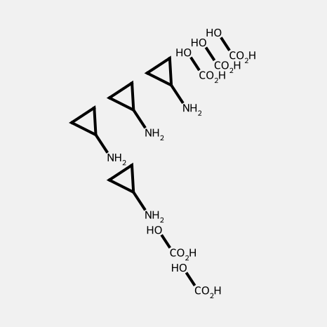 NC1CC1.NC1CC1.NC1CC1.NC1CC1.O=C(O)O.O=C(O)O.O=C(O)O.O=C(O)O.O=C(O)O